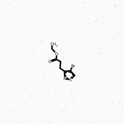 CCOC(=O)CCc1nscc1Br